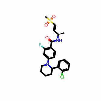 C[C@H](/C=C/S(C)(=O)=O)NC(=O)c1ccc(N2CCCCC2c2ccccc2Cl)cc1F